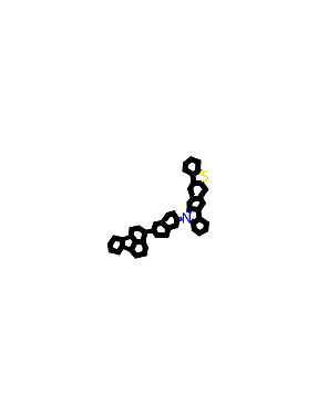 c1ccc2c(c1)-c1cccc3c(-c4ccc5cc(-n6c7ccccc7c7cc8cc9sc%10ccccc%10c9cc8cc76)ccc5c4)ccc-2c13